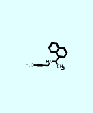 CC#CCNC(C)c1cccc2ccccc12.Cl